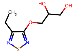 CCc1nsnc1OCC(O)CO